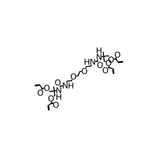 C=CC(=O)OCC(C)(COC(=O)C=C)NC(=O)NCCOCCOCCNC(=O)NC(C)(COC(=O)C=C)COC(=O)C=C